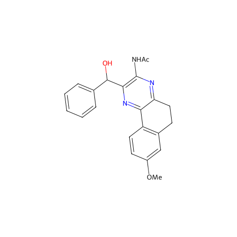 COc1ccc2c(c1)CCc1nc(NC(C)=O)c(C(O)c3ccccc3)nc1-2